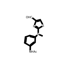 CC(=O)Nc1cccc(N(C)c2nc(C=O)cs2)c1